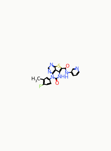 Cc1cc(N2C(=O)Nc3c(C(=O)Nc4cccnc4)sc4ncnc2c34)ccc1F